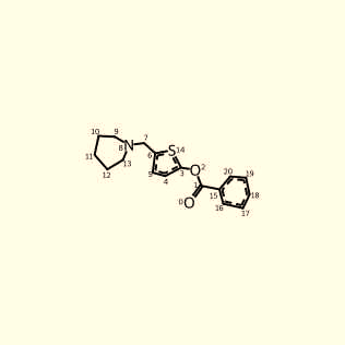 O=C(Oc1ccc(CN2CCCCC2)s1)c1ccccc1